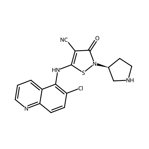 N#Cc1c(Nc2c(Cl)ccc3ncccc23)sn([C@H]2CCNC2)c1=O